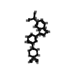 O=S1(=O)CCN(c2cc(-c3cnc4ccc(C(F)F)nn34)ccn2)CC1